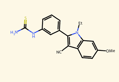 CCn1c(-c2cccc(NC(N)=S)c2)c(C#N)c2ccc(OC)cc21